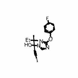 CCC(C)(C)C(O)(C#CI)n1cnc(Oc2ccc(F)cc2)n1